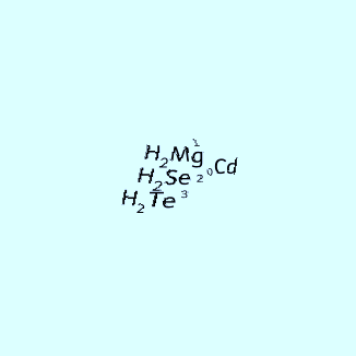 [Cd].[MgH2].[SeH2].[TeH2]